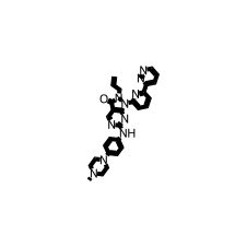 C=CCn1c(=O)c2cnc(Nc3ccc(N4CCN(C)CC4)cc3)nc2n1-c1cccc(-c2cccnn2)n1